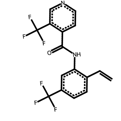 C=Cc1ccc(C(F)(F)F)cc1NC(=O)c1ccncc1C(F)(F)F